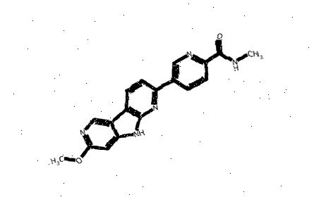 CNC(=O)c1ccc(-c2ccc3c(n2)[nH]c2cc(OC)ncc23)cn1